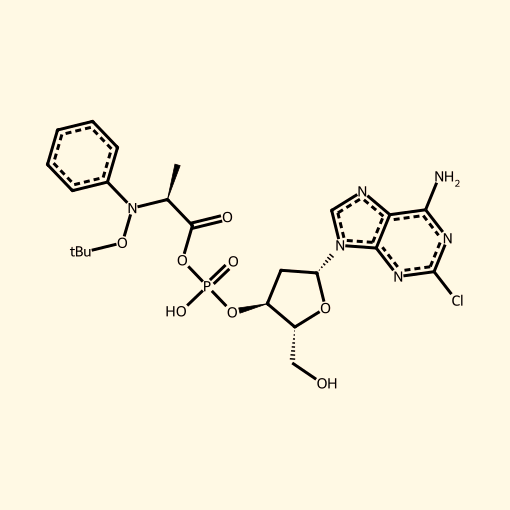 C[C@@H](C(=O)OP(=O)(O)O[C@H]1C[C@H](n2cnc3c(N)nc(Cl)nc32)O[C@@H]1CO)N(OC(C)(C)C)c1ccccc1